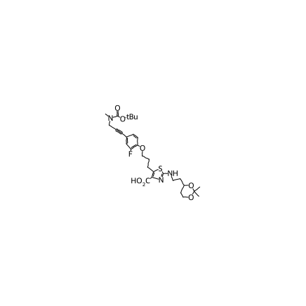 CN(CC#Cc1ccc(OCCCc2sc(NCCC3CCOC(C)(C)O3)nc2C(=O)O)c(F)c1)C(=O)OC(C)(C)C